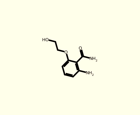 NC(=O)c1c(N)cccc1OCCO